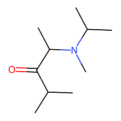 CC(C)C(=O)C(C)N(C)C(C)C